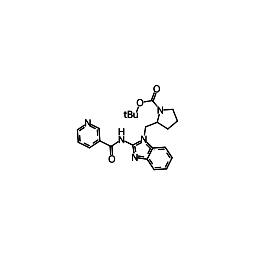 CC(C)(C)OC(=O)N1CCCC1Cn1c(NC(=O)c2cccnc2)nc2ccccc21